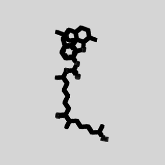 CC(=O)C(C)CCCCC(C)C(=O)CCCCCC(C)OC(=O)Oc1ccc2c3c1OC1C(C)CCC4C(C2)N(C)CCC341